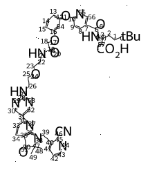 CC(C)(C)CC[C@H](NC(=O)c1ccc(Oc2cccc(OCC(=O)NCCOCCNc3ncc(-c4ccc5c(n4)N(Cc4cccnc4C#N)C(C)(C)C5=O)cn3)c2)nc1)C(=O)O